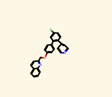 Fc1ccc(-c2ccncc2)c(-c2ccc(OCc3ccc4ccccc4n3)cc2)c1